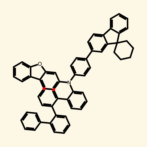 c1ccc(-c2ccccc2-c2ccccc2-c2ccccc2N(c2ccc(-c3ccc4c(c3)C3(CCCCC3)c3ccccc3-4)cc2)c2ccc3c(c2)oc2ccccc23)cc1